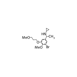 COCCCOc1cc(C(C)NC2CC2)cc(Br)c1OC